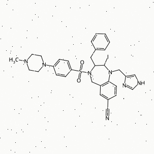 CN1CCN(c2ccc(S(=O)(=O)N3Cc4cc(C#N)ccc4N(Cc4c[nH]cn4)C(I)C3Cc3ccccc3)cc2)CC1